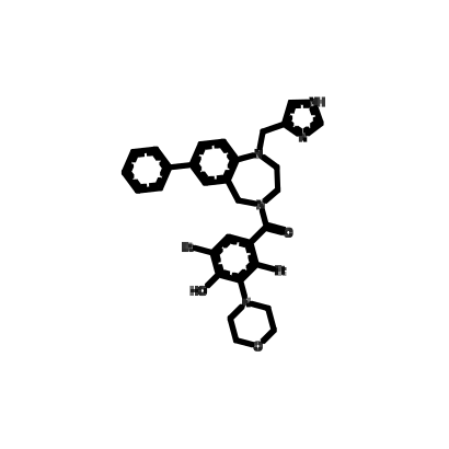 CCc1cc(C(=O)N2CCN(Cc3c[nH]cn3)c3ccc(-c4ccccc4)cc3C2)c(CC)c(N2CCOCC2)c1O